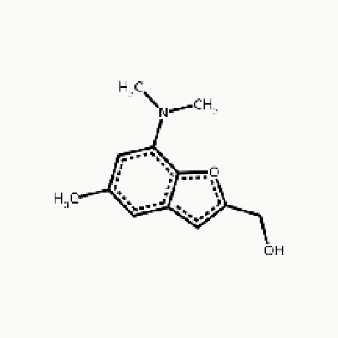 Cc1cc(N(C)C)c2oc(CO)cc2c1